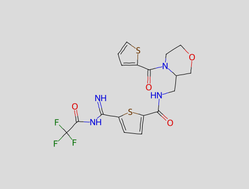 N=C(NC(=O)C(F)(F)F)c1ccc(C(=O)NCC2COCCN2C(=O)c2cccs2)s1